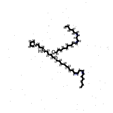 CCCCC/C=C\C/C=C\CCCCCCCCOCC(CCNCCCN1CCCC1)OCCCCCCCC/C=C\C/C=C\CCCCC